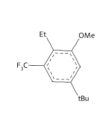 CCc1c(OC)cc(C(C)(C)C)cc1C(F)(F)F